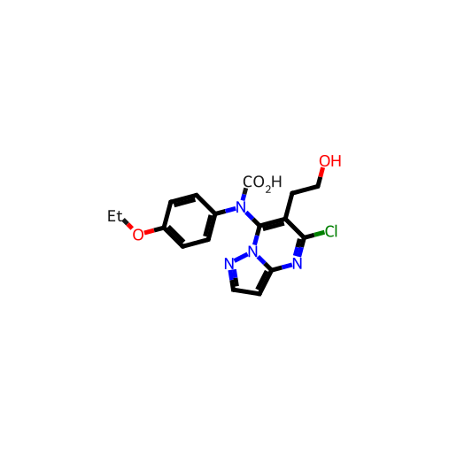 CCOc1ccc(N(C(=O)O)c2c(CCO)c(Cl)nc3ccnn23)cc1